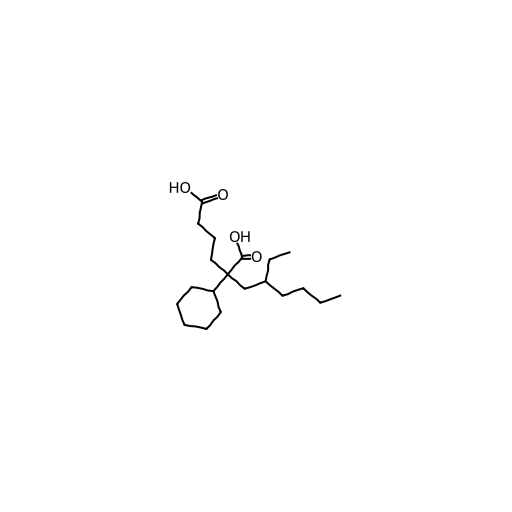 CCCCC(CC)CC(CCCC(=O)O)(C(=O)O)C1CCCCC1